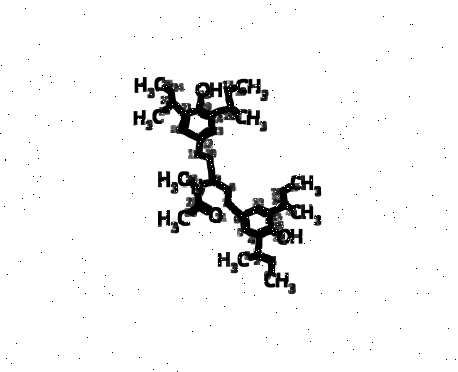 CCC(C)c1cc(CCC(CCc2cc(C(C)CC)c(O)c(C(C)CC)c2)N(C)C(C)=O)cc(C(C)CC)c1O